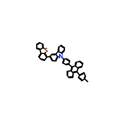 Cc1ccc(-c2c3ccccc3c(-c3ccc(-n4c5ccccc5c5cc(-c6cccc7c6sc6ccccc67)ccc54)cc3)c3ccccc23)cc1